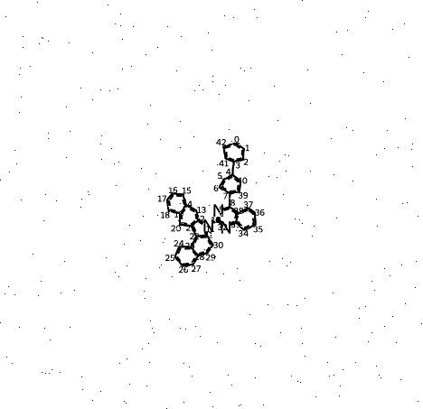 c1ccc(-c2ccc(-c3nc(-n4c5cc6ccccc6cc5c5c6ccccc6ccc54)nc4ccccc34)cc2)cc1